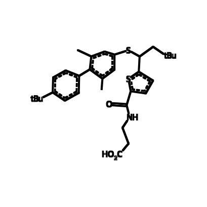 Cc1cc(SC(CC(C)(C)C)c2ccc(C(=O)NCCC(=O)O)s2)cc(C)c1-c1ccc(C(C)(C)C)cc1